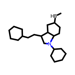 CBC1CCC2C(C1)C(CCC1CCCCC1)CN2C1CCCCC1